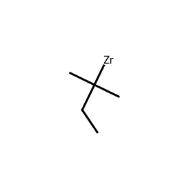 CC[C](C)(C)[Zr]